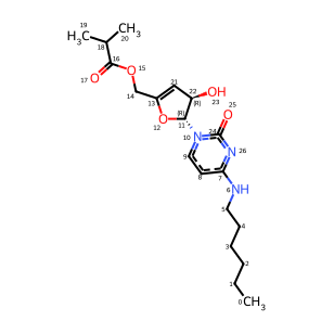 CCCCCCNc1ccn([C@@H]2OC(COC(=O)C(C)C)=C[C@H]2O)c(=O)n1